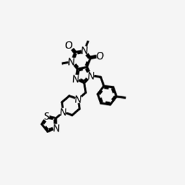 Cc1cccc(Cn2c(CN3CCN(c4nccs4)CC3)nc3c2c(=O)n(C)c(=O)n3C)c1